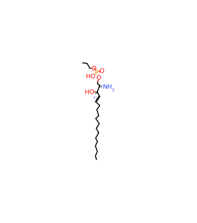 CCCCCCCCCCCCC/C=C/[C@@H](O)[C@@H](N)COP(=O)(O)OCCC